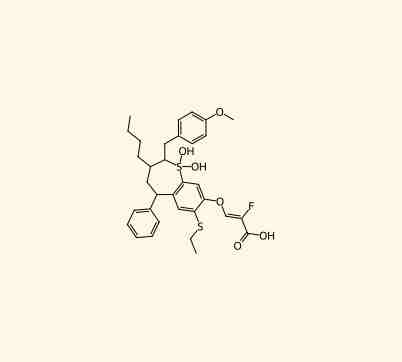 CCCCC1CC(c2ccccc2)c2cc(SCC)c(O/C=C(\F)C(=O)O)cc2S(O)(O)C1Cc1ccc(OC)cc1